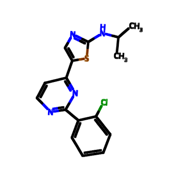 CC(C)Nc1ncc(-c2ccnc(-c3ccccc3Cl)n2)s1